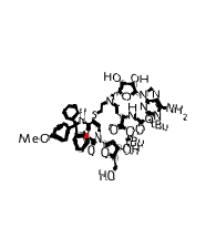 COc1ccc(C(Nc2nc(=O)n([C@@H]3C[C@H](O)[C@@H](CO)O3)cc2SCCN(CC[C@H](NC(=O)OC(C)(C)C)C(=O)OC(C)(C)C)C[C@H]2O[C@@H](n3cnc4c(N)ncnc43)[C@H](O)[C@@H]2O)(c2ccccc2)c2ccccc2)cc1